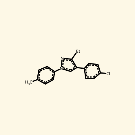 CCc1nn(-c2ccc(C)cc2)cc1-c1ccc(Cl)cc1